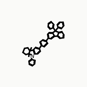 CC12CCCCC1(C)N(c1ccccc1)c1ccc(-c3ccc(-c4ccc5c(c4)-c4ccccc4C5(c4ccccc4)c4ccccc4)cc3)cc12